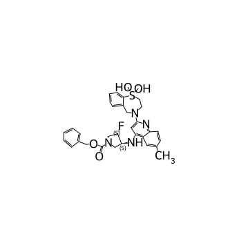 Cc1ccc2nc(N3CCS(O)(O)c4ccccc4C3)cc(N[C@H]3CN(C(=O)OCc4ccccc4)C[C@@H]3F)c2c1